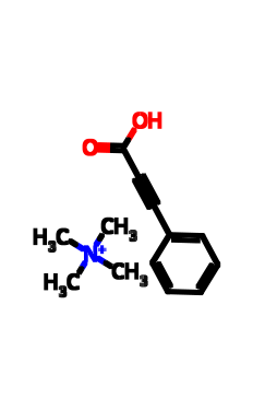 C[N+](C)(C)C.O=C(O)C#Cc1ccccc1